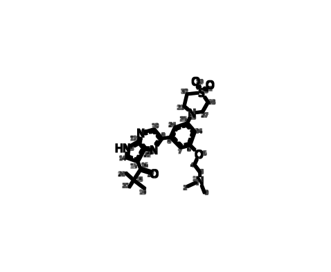 CN(C)CCOc1cc(-c2cnc3[nH]cc(C(=O)C(C)(C)C)c3n2)cc(N2CCS(=O)(=O)CC2)c1